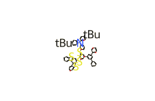 CC(C)(C)c1ccc(N(c2ccc(C(C)(C)C)cc2)c2cccc(Sc3cc(Sc4cc5sc6ccccc6c5c5c4sc4ccccc45)cc(-c4cc(-c5ccccc5)cc(-c5ccccc5)c4)c3)c2)cc1